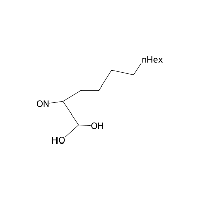 CCCCCCCCCCC(N=O)C(O)O